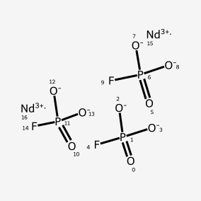 O=P([O-])([O-])F.O=P([O-])([O-])F.O=P([O-])([O-])F.[Nd+3].[Nd+3]